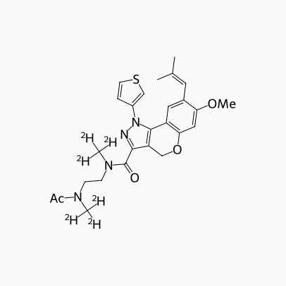 [2H]C([2H])([2H])N(CCN(C(=O)c1nn(-c2ccsc2)c2c1COc1cc(OC)c(C=C(C)C)cc1-2)C([2H])([2H])[2H])C(C)=O